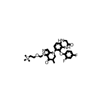 CC1CN(c2ccc3c(c2Oc2ccc(F)cc2F)NC(=O)CN3)c2cnn(COCC[Si](C)(C)C)c2C1=O